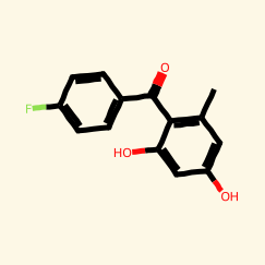 Cc1cc(O)cc(O)c1C(=O)c1ccc(F)cc1